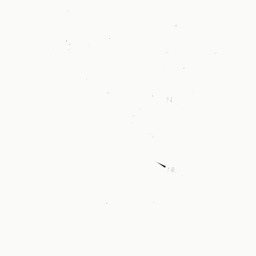 N[C@@H](CC1CCCCC1)C(=O)CN(C[C@@H]1CCCO1)S(=O)(=O)c1ccc([N+](=O)[O-])cc1